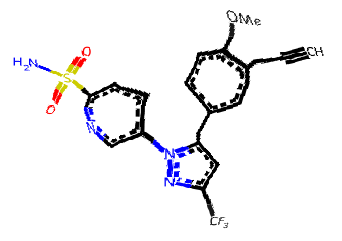 C#Cc1cc(-c2cc(C(F)(F)F)nn2-c2ccc(S(N)(=O)=O)nc2)ccc1OC